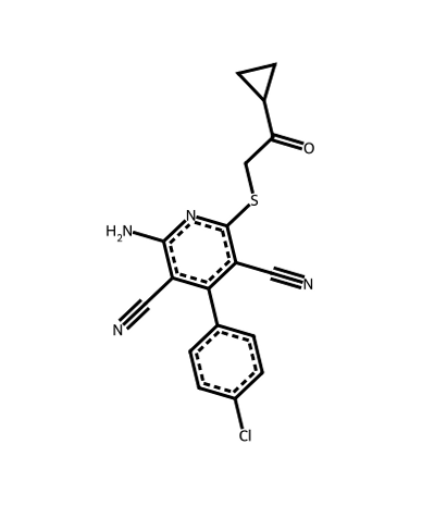 N#Cc1c(N)nc(SCC(=O)C2CC2)c(C#N)c1-c1ccc(Cl)cc1